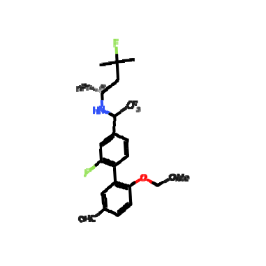 CCC[C@H](CC(C)(C)F)NC(c1ccc(-c2cc(C=O)ccc2OCOC)c(F)c1)C(F)(F)F